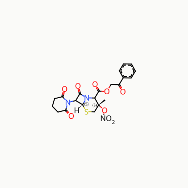 C[C@@]1(O[N+](=O)[O-])CS[C@H]2C(N3C(=O)CCCC3=O)C(=O)N2C1C(=O)OCC(=O)c1ccccc1